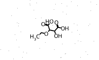 CCOC(C(=O)O)C(O)C(=O)O